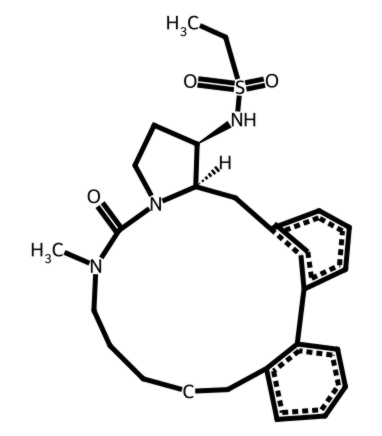 CCS(=O)(=O)N[C@@H]1CCN2C(=O)N(C)CCCCCc3ccccc3-c3cccc(c3)C[C@H]12